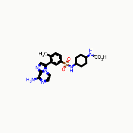 Cc1ccc(S(=O)(=O)NC2CCC(NC(=O)O)CC2)cc1-c1cnc2c(N)nccn12